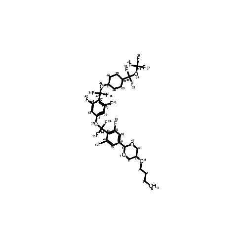 CCCCOC1COC(c2cc(F)c(C(F)(F)Oc3cc(F)c(C(F)(F)OC4CCC(C(F)(F)OC(F)(F)F)CC4)c(F)c3)c(F)c2)OC1